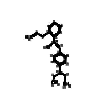 C=CCc1ccccc1[N+]([O-])=Cc1ccc(N(CC)CC)cc1